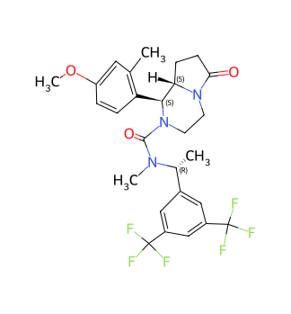 COc1ccc([C@H]2[C@@H]3CCC(=O)N3CCN2C(=O)N(C)[C@H](C)c2cc(C(F)(F)F)cc(C(F)(F)F)c2)c(C)c1